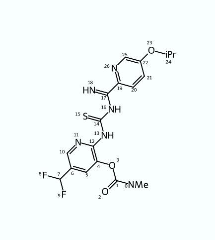 CNC(=O)Oc1cc(C(F)F)cnc1NC(=S)NC(=N)c1ccc(OC(C)C)cn1